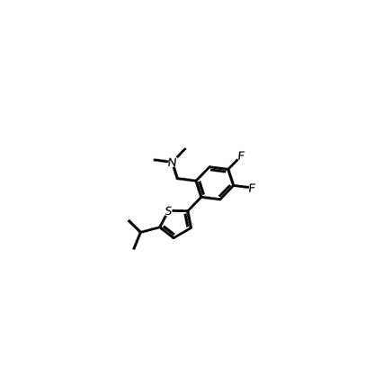 CC(C)c1ccc(-c2cc(F)c(F)cc2CN(C)C)s1